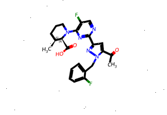 CC(=O)c1cc(-c2ncc(F)c(N3CCC[C@H](C)[C@@H]3C(=O)O)n2)nn1Cc1ccccc1F